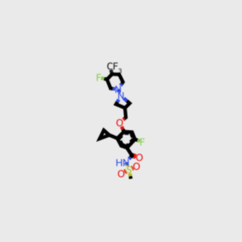 CS(=O)(=O)NC(=O)c1cc(C2CC2)c(OCC2CN(N3CCC(C(F)(F)F)C(F)C3)C2)cc1F